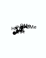 COCCCOc1cc(C(=O)N(C[C@H]2CN(Cc3ccccc3)C[C@H]2CNC(C)C)C(C)C)ccc1OC